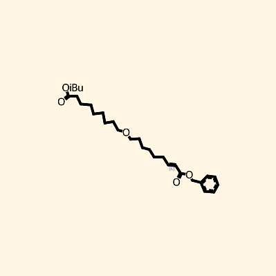 CC(C)COC(=O)CCCCCCCCOCCCCCC/C=C/C(=O)OCc1ccccc1